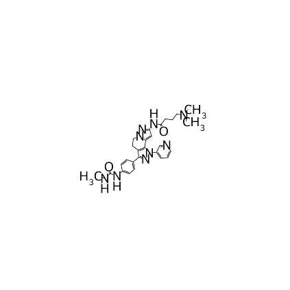 CNC(=O)Nc1ccc(-c2nn(-c3cccnc3)c3c2CCn2nc(NC(=O)CCCN(C)C)cc2-3)cc1